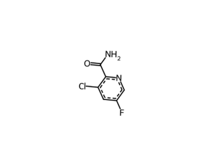 NC(=O)c1ncc(F)cc1Cl